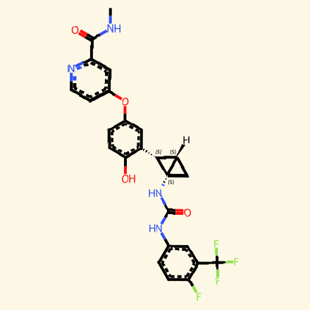 CNC(=O)c1cc(Oc2ccc(O)c([C@@H]3[C@@H]4C[C@@]34NC(=O)Nc3ccc(F)c(C(F)(F)F)c3)c2)ccn1